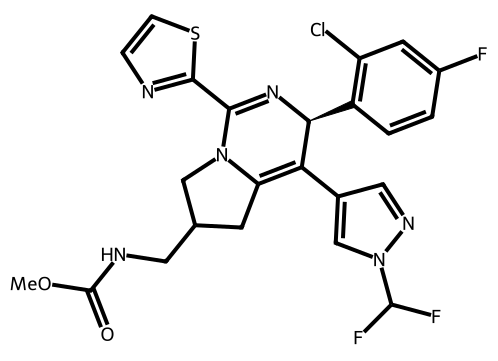 COC(=O)NCC1CC2=C(c3cnn(C(F)F)c3)[C@H](c3ccc(F)cc3Cl)N=C(c3nccs3)N2C1